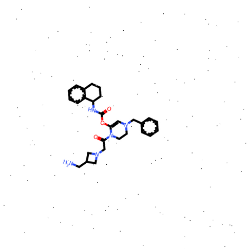 NCC1CN(CC(=O)N2CCN(Cc3ccccc3)C=C2OC(=O)NC2CCCc3ccccc32)C1